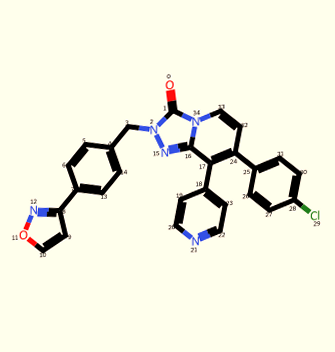 O=c1n(Cc2ccc(-c3ccon3)cc2)nc2c(-c3ccncc3)c(-c3ccc(Cl)cc3)ccn12